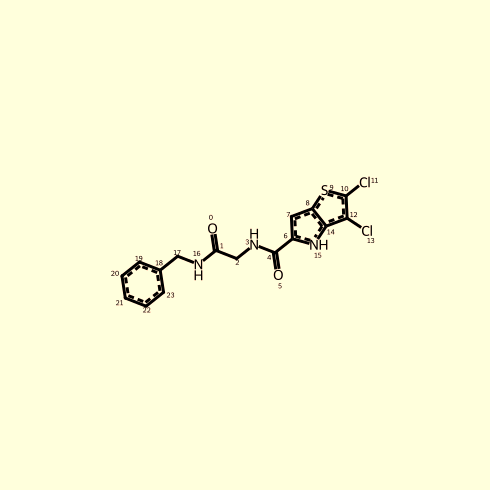 O=C(CNC(=O)c1cc2sc(Cl)c(Cl)c2[nH]1)NCc1ccccc1